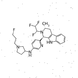 C[C@@H]1Cc2c([nH]c3ccccc23)[C@@H](c2ccc(NC3CCN(CCCF)C3)cn2)N1C(F)C(F)F